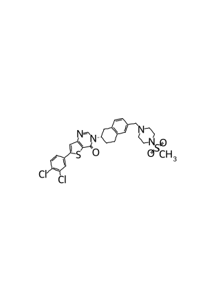 CS(=O)(=O)N1CCN(Cc2ccc3c(c2)CC[C@H](n2cnc4cc(-c5ccc(Cl)c(Cl)c5)sc4c2=O)C3)CC1